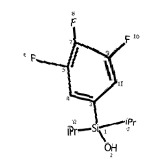 CC(C)[Si](O)(c1cc(F)c(F)c(F)c1)C(C)C